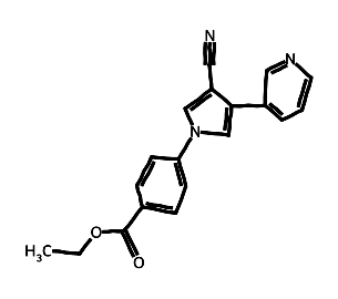 CCOC(=O)c1ccc(-n2cc(C#N)c(-c3cccnc3)c2)cc1